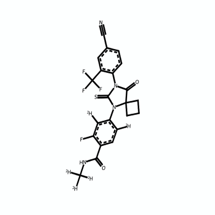 [2H]c1cc(C(=O)NC([2H])([2H])[2H])c(F)c([2H])c1N1C(=S)N(c2ccc(C#N)cc2C(F)(F)F)C(=O)C12CCC2